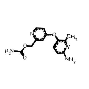 Cc1nc(N)ccc1Oc1ccnc(COC(N)=O)c1